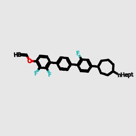 B=COc1ccc(-c2ccc(-c3ccc(C4CCCC(CCCCCCC)CC4)cc3F)cc2)c(F)c1F